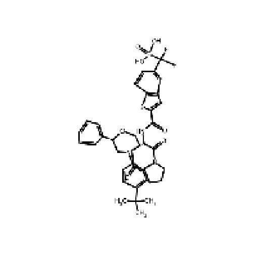 CC(C)(C)c1ccc(C[C@H](NC(=O)c2cc3cc(C(F)(F)P(=O)(O)O)ccc3s2)C(=O)N2CCC[C@H]2C(=O)N2CCO[C@H](c3ccccc3)C2)cc1